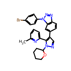 Cc1cccc(-c2c(-c3ccc4nnn(-c5ccc(Br)cc5)c4c3)cnn2C2CCCCO2)n1